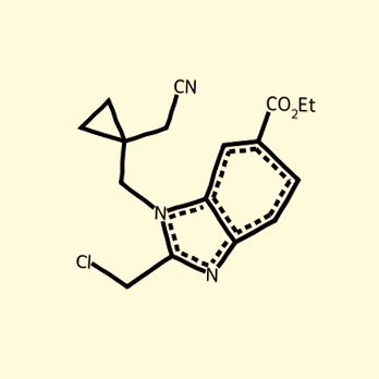 CCOC(=O)c1ccc2nc(CCl)n(CC3(CC#N)CC3)c2c1